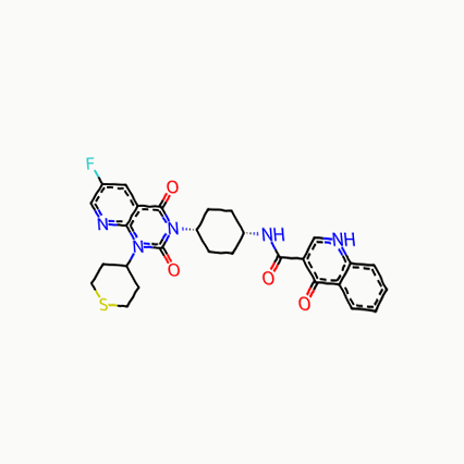 O=C(N[C@H]1CC[C@@H](n2c(=O)c3cc(F)cnc3n(C3CCSCC3)c2=O)CC1)c1c[nH]c2ccccc2c1=O